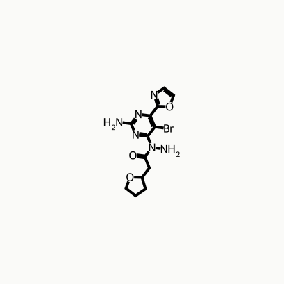 Nc1nc(-c2ncco2)c(Br)c(N(N)C(=O)CC2CCCO2)n1